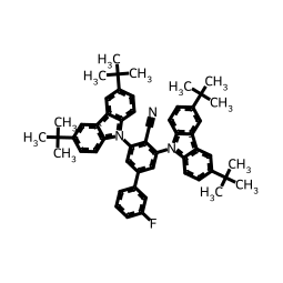 CC(C)(C)c1ccc2c(c1)c1cc(C(C)(C)C)ccc1n2-c1cc(-c2cccc(F)c2)cc(-n2c3ccc(C(C)(C)C)cc3c3cc(C(C)(C)C)ccc32)c1C#N